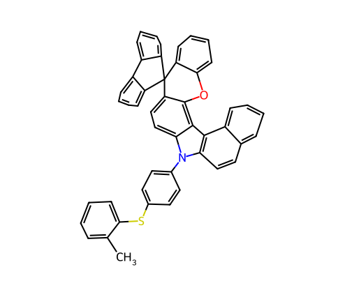 Cc1ccccc1Sc1ccc(-n2c3ccc4c(c3c3c5ccccc5ccc32)Oc2ccccc2C42c3ccccc3-c3ccccc32)cc1